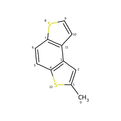 Cc1cc2c(ccc3sccc32)s1